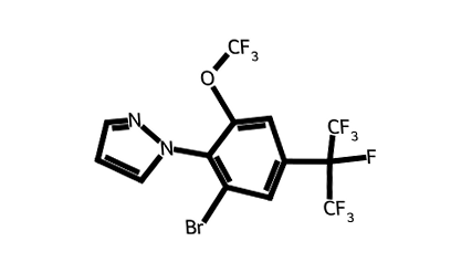 FC(F)(F)Oc1cc(C(F)(C(F)(F)F)C(F)(F)F)cc(Br)c1-n1cccn1